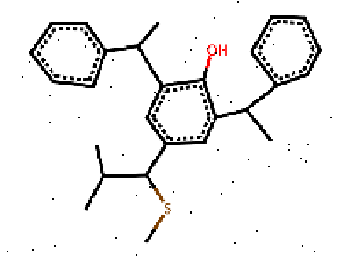 CSC(c1cc(C(C)c2ccccc2)c(O)c(C(C)c2ccccc2)c1)C(C)C